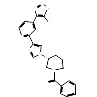 O=C(c1ccccc1)N1CCC[C@H](n2cnc(-c3cc(-c4nn[nH]c4C(F)(F)F)ccn3)c2)C1